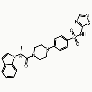 C[C@H](C(=O)N1CCN(c2ccc(S(=O)(=O)Nc3ncns3)cc2)CC1)n1ccc2ccccc21